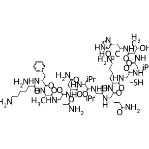 CC(C)[C@H](NC(=O)[C@H](CC(N)=O)NC(=O)[C@H](CC(N)=O)NC(=O)[C@H](C)NC(=O)[C@H](Cc1ccccc1)NC(=O)[C@@H](N)CCCCN)C(=O)N[C@H](C(=O)N[C@@H](CCC(N)=O)C(=O)N[C@@H](CCCCN)C(=O)N[C@@H](CS)C(=O)N[C@H](C(=O)N[C@H](C(=O)N[C@@H](Cc1c[nH]cn1)C(=O)O)[C@@H](C)O)C(C)C)C(C)C